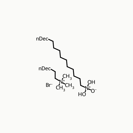 CCCCCCCCCCCCCCCCCCCC[N+]([O-])(O)O.CCCCCCCCCCCC[N+](C)(C)C.[Br-]